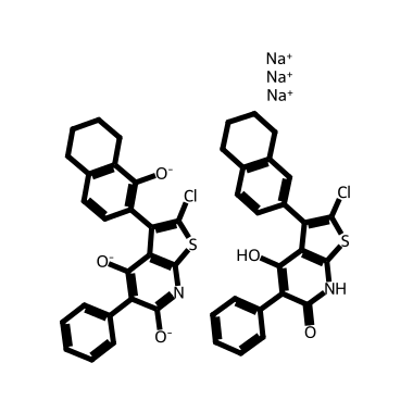 O=c1[nH]c2sc(Cl)c(-c3ccc4c(c3)CCCC4)c2c(O)c1-c1ccccc1.[Na+].[Na+].[Na+].[O-]c1nc2sc(Cl)c(-c3ccc4c(c3[O-])CCCC4)c2c([O-])c1-c1ccccc1